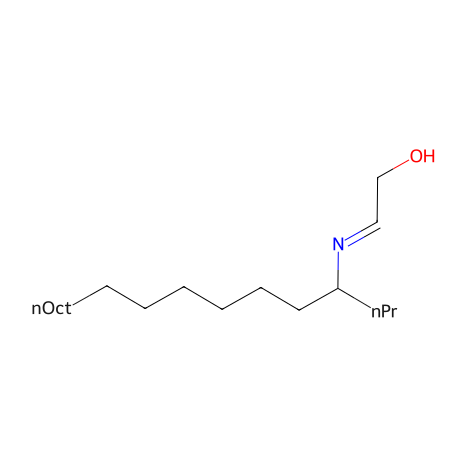 CCCCCCCCCCCCCCC(CCC)N=CCO